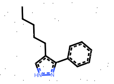 CCCCCc1c[nH]nc1-c1ccccc1